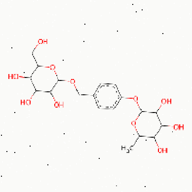 CC1OC(Oc2ccc(COC3OC(CO)C(O)C(O)C3O)cc2)C(O)C(O)C1O